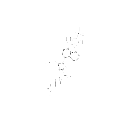 C[C@H](NS(=O)(=O)c1ccc(-c2sc(C(=O)N3CC4(C3)CS(=O)(=O)C4)nc2CC2CC2)c2ccccc12)C(F)(F)F